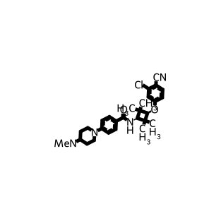 CNC1CCN(c2ccc(C(=O)N[C@H]3C(C)(C)[C@H](Oc4ccc(C#N)c(Cl)c4)C3(C)C)cc2)CC1